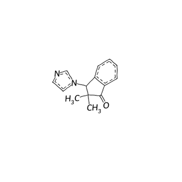 CC1(C)C(=O)c2ccccc2C1n1ccnc1